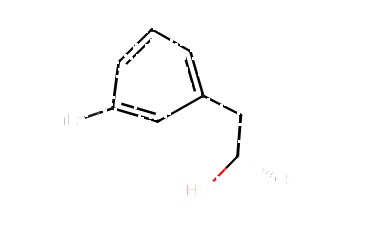 CC(C)c1cccc(C[C@H](C)O)c1